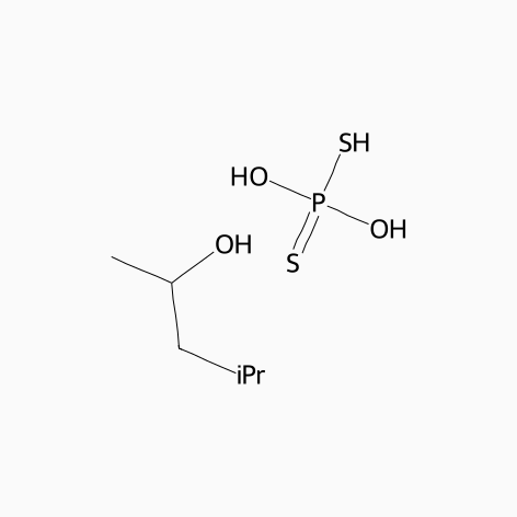 CC(C)CC(C)O.OP(O)(=S)S